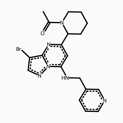 CC(=O)N1CCCCC1c1cc(NCc2cccnc2)n2ncc(Br)c2n1